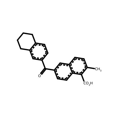 Cc1ccc2cc(C(=O)c3ccc4c(c3)CCCC4)ccc2c1C(=O)O